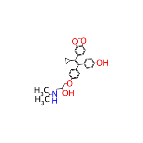 CC(C)NCC(O)COc1ccc(/C(=C(/c2ccc3c(c2)OCO3)C2CC2)c2ccc(O)cc2)cc1